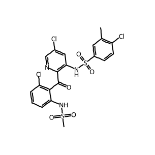 Cc1cc(S(=O)(=O)Nc2cc(Cl)cnc2C(=O)c2c(Cl)cccc2NS(C)(=O)=O)ccc1Cl